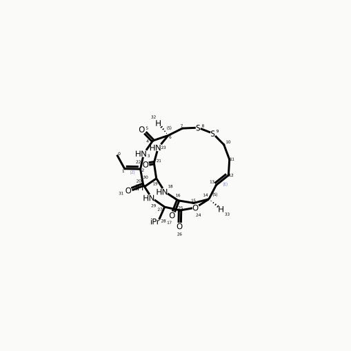 C/C=C1\NC(=O)[C@H]2CSSCC/C=C/[C@H](CC(=O)NC(C(C)C)C(=O)N2)OC(=O)C(C(C)C)NC1=O